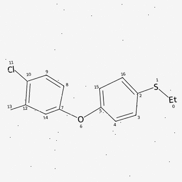 CCSc1ccc(Oc2ccc(Cl)c(C)c2)cc1